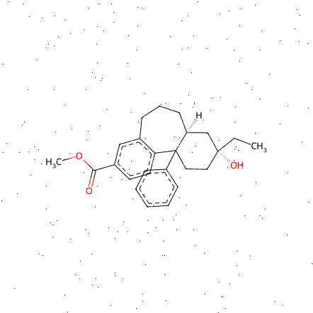 CC[C@@]1(O)CCC2(c3ccccc3)c3ccc(C(=O)OC)cc3CCC[C@H]2C1